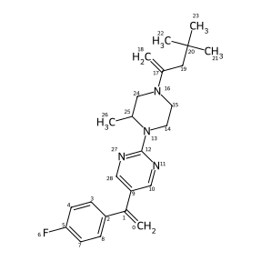 C=C(c1ccc(F)cc1)c1cnc(N2CCN(C(=C)CC(C)(C)C)CC2C)nc1